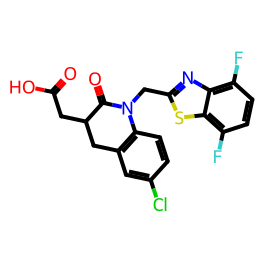 O=C(O)CC1Cc2cc(Cl)ccc2N(Cc2nc3c(F)ccc(F)c3s2)C1=O